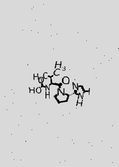 CC(C)C(NC(=O)O)C(=O)N1CCC[C@H]1c1ncc(I)[nH]1